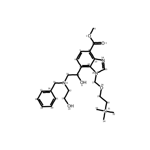 COC(=O)c1ccc(C(O)CN(CCO)Cc2ccccc2)c2c1ncn2COCC[Si](C)(C)C